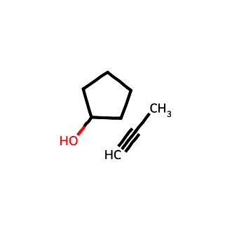 C#CC.OC1CCCC1